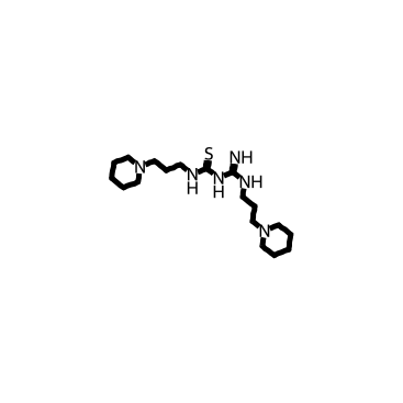 N=C(NCCCN1CCCCC1)NC(=S)NCCCN1CCCCC1